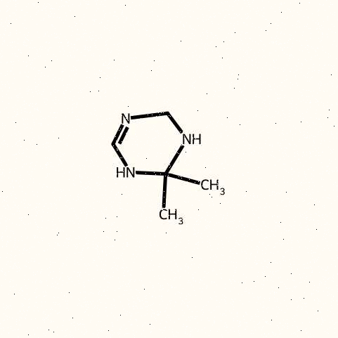 CC1(C)NC=NCN1